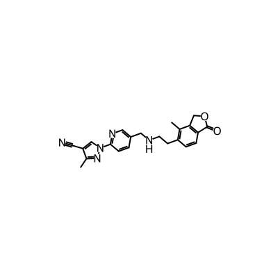 Cc1nn(-c2ccc(CNCCc3ccc4c(c3C)COC4=O)cn2)cc1C#N